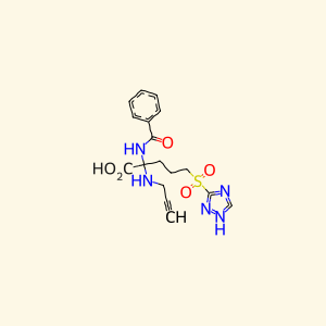 C#CCNC(CCCS(=O)(=O)c1nc[nH]n1)(NC(=O)c1ccccc1)C(=O)O